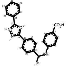 CC(C)C(Nc1ccc(C(=O)O)cc1)c1ccc(-c2nnc(-c3ccccc3)o2)cc1